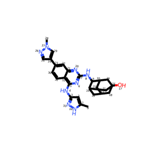 Cc1cc(Nc2nc(NC3C4CC5CC3CC(O)(C5)C4)nc3cc(-c4cnn(C)c4)ccc23)n[nH]1